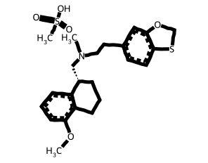 COc1cccc2c1CCC[C@H]2CN(C)CCc1ccc2c(c1)OCS2.CS(=O)(=O)O